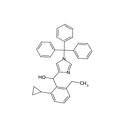 CCc1cccc(C2CC2)c1C(O)c1cn(C(c2ccccc2)(c2ccccc2)c2ccccc2)cn1